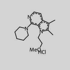 COCCn1c(C)c(C)c2ccnc(N3CCCCC3)c21.Cl